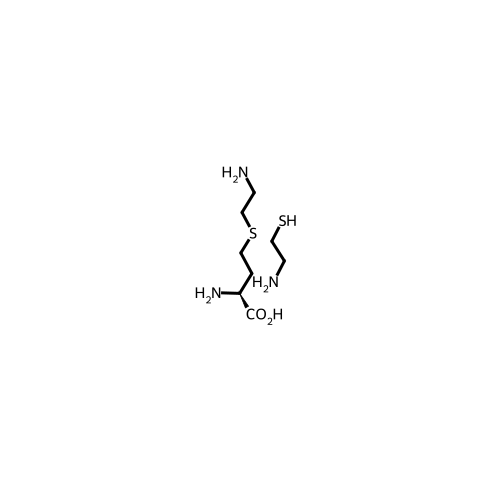 NCCS.NCCSCC[C@H](N)C(=O)O